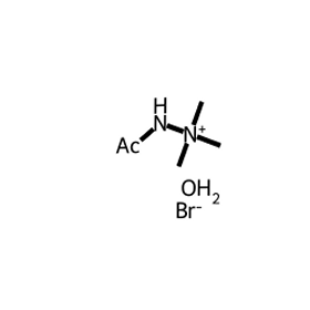 CC(=O)N[N+](C)(C)C.O.[Br-]